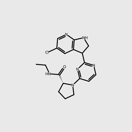 CCNC(=O)[C@H]1CCCN1c1ccnc(C2CNc3ncc(Cl)cc32)n1